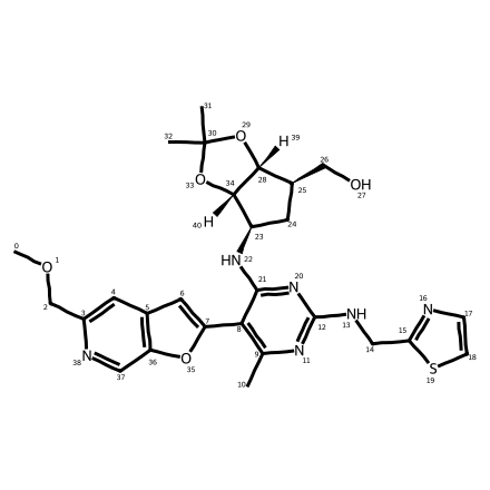 COCc1cc2cc(-c3c(C)nc(NCc4nccs4)nc3N[C@@H]3C[C@H](CO)[C@H]4OC(C)(C)O[C@H]43)oc2cn1